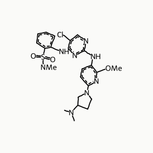 CNS(=O)(=O)c1ccccc1Nc1nc(Nc2ccc(N3CCC(N(C)C)C3)nc2OC)ncc1Cl